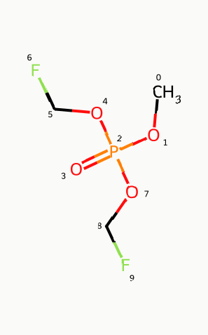 COP(=O)(OCF)OCF